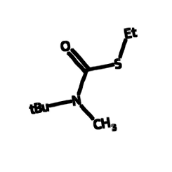 CCSC(=O)N(C)C(C)(C)C